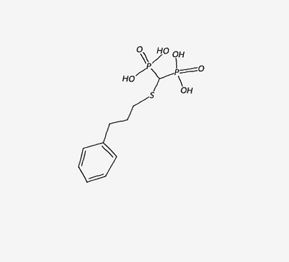 O=P(O)(O)C(SCCCc1ccccc1)P(=O)(O)O